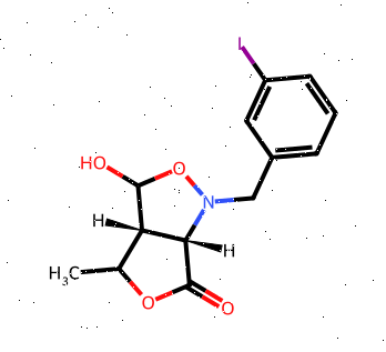 CC1OC(=O)[C@@H]2[C@H]1C(O)ON2Cc1cccc(I)c1